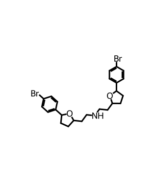 Brc1ccc(C2CCC(CCNCCC3CCC(c4ccc(Br)cc4)O3)O2)cc1